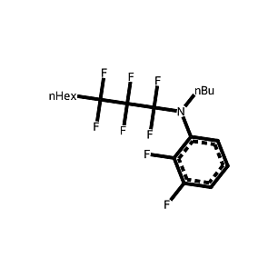 CCCCCCC(F)(F)C(F)(F)C(F)(F)N(CCCC)c1cccc(F)c1F